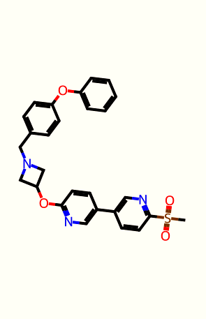 CS(=O)(=O)c1ccc(-c2ccc(OC3CN(Cc4ccc(Oc5ccccc5)cc4)C3)nc2)cn1